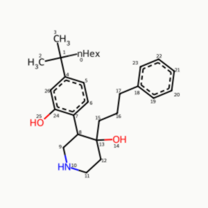 CCCCCCC(C)(C)c1ccc(C2CNCCC2(O)CCCc2ccccc2)c(O)c1